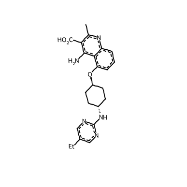 CCc1cnc(N[C@H]2CC[C@H](Oc3cccc4nc(C)c(C(=O)O)c(N)c34)CC2)nc1